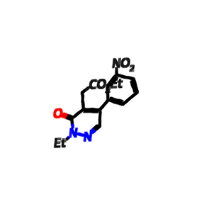 CCOC(=O)Cc1c(-c2cccc([N+](=O)[O-])c2)cnn(CC)c1=O